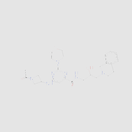 CC(=O)N1CC(Nc2cc(C(=O)NCC(O)CN3CCc4ccccc4C3)nc(N3CCOCC3)n2)C1